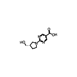 O=C(O)c1cnc(N2CC[C@H](CO)C2)nc1